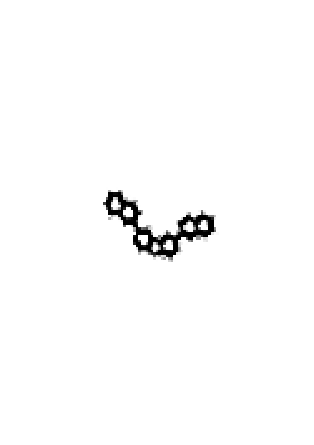 c1ccc2cc(-c3ccc4sc5ccc(-c6ccc7ccccc7c6)cc5c4c3)ccc2c1